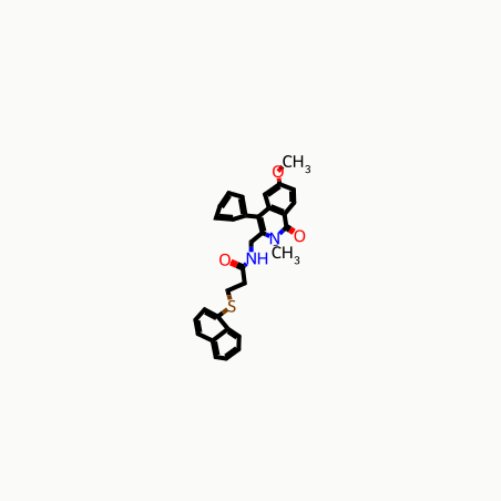 COc1ccc2c(=O)n(C)c(CNC(=O)CCSc3cccc4ccccc34)c(-c3ccccc3)c2c1